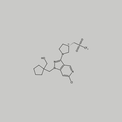 O=S(=O)(C[C@H]1CCN(c2nn(CC3(CO)CCCC3)c3cc(Cl)ncc23)C1)C(F)(F)F